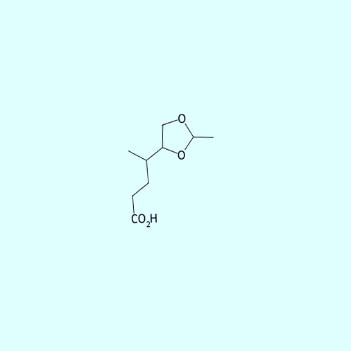 CC1OCC(C(C)CCC(=O)O)O1